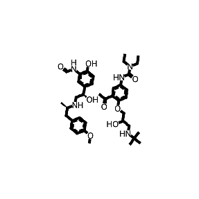 CCN(CC)C(=O)Nc1ccc(OCC(O)CNC(C)(C)C)c(C(C)=O)c1.COc1ccc(C[C@@H](C)NC[C@H](O)c2ccc(O)c(NC=O)c2)cc1